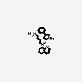 NCCCCN(C[C@@H]1CC(c2ccccc2)CN1)[C@H]1CCCc2cccnc21